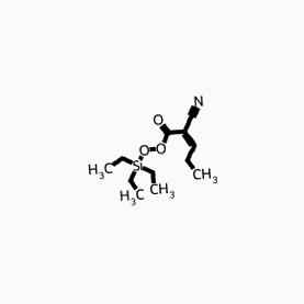 CCC=C(C#N)C(=O)OO[Si](CC)(CC)CC